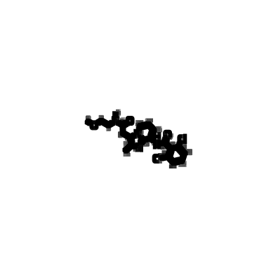 COCCN(C)C(=O)Cc1c(C)nc2c(NC(=O)c3c(Cl)cccc3Cl)cccn12